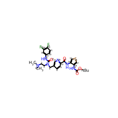 CN(C)CCN(Cc1ccc(C(=O)Nc2cscc2NC(=O)OC(C)(C)C)nc1)C(=O)Nc1ccc(F)c(F)c1